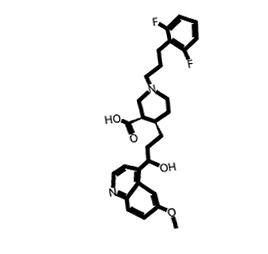 COc1ccc2nccc(C(O)CC[C@@H]3CCN(CCCc4c(F)cccc4F)C[C@@H]3C(=O)O)c2c1